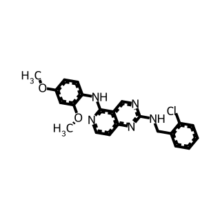 COc1ccc(Nc2nccc3nc(NCc4ccccc4Cl)ncc23)c(OC)c1